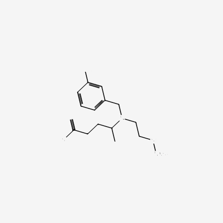 CNNCCN(Cc1cccc(C(F)(F)F)c1)C(C)CCC(N)=O